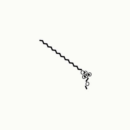 CCCCCCCCCCCCCCCCCCCCOOS(=O)(=O)CCOCC